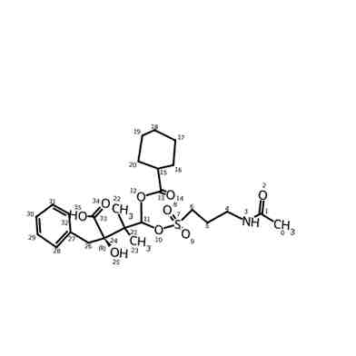 CC(=O)NCCCS(=O)(=O)OC(OC(=O)C1CCCCC1)C(C)(C)[C@](O)(Cc1ccccc1)C(=O)O